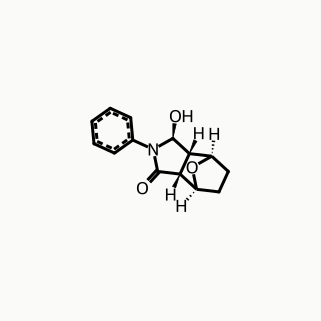 O=C1[C@@H]2[C@@H]([C@H]3CC[C@@H]2O3)[C@H](O)N1c1ccccc1